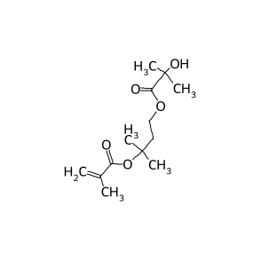 C=C(C)C(=O)OC(C)(C)CCOC(=O)C(C)(C)O